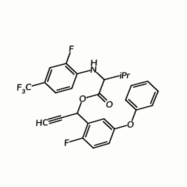 C#CC(OC(=O)C(Nc1ccc(C(F)(F)F)cc1F)C(C)C)c1cc(Oc2ccccc2)ccc1F